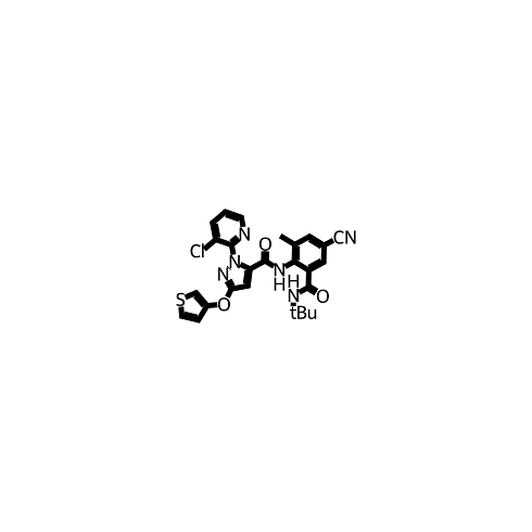 Cc1cc(C#N)cc(C(=O)NC(C)(C)C)c1NC(=O)c1cc(Oc2ccsc2)nn1-c1ncccc1Cl